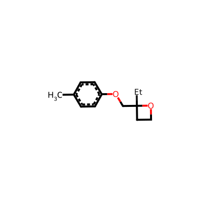 CCC1(COc2ccc(C)cc2)CCO1